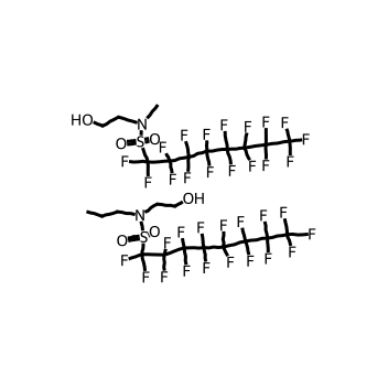 CCCN(CCO)S(=O)(=O)C(F)(F)C(F)(F)C(F)(F)C(F)(F)C(F)(F)C(F)(F)C(F)(F)C(F)(F)F.CN(CCO)S(=O)(=O)C(F)(F)C(F)(F)C(F)(F)C(F)(F)C(F)(F)C(F)(F)C(F)(F)C(F)(F)F